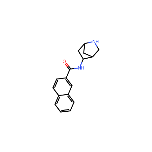 O=C(NC1CC2CC1CN2)c1ccc2ccccc2c1